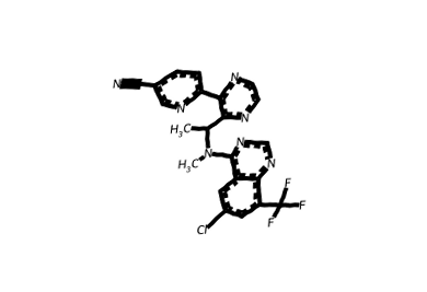 CC(c1nccnc1-c1ccc(C#N)cn1)N(C)c1ncnc2c(C(F)(F)F)cc(Cl)cc12